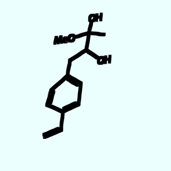 C=Cc1ccc(CC(O)C(C)(O)OC)cc1